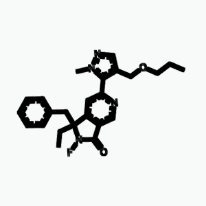 CCCOCc1cnn(C)c1-c1cc2c(cn1)C(=O)N(F)C2(CC)Cc1ccccc1